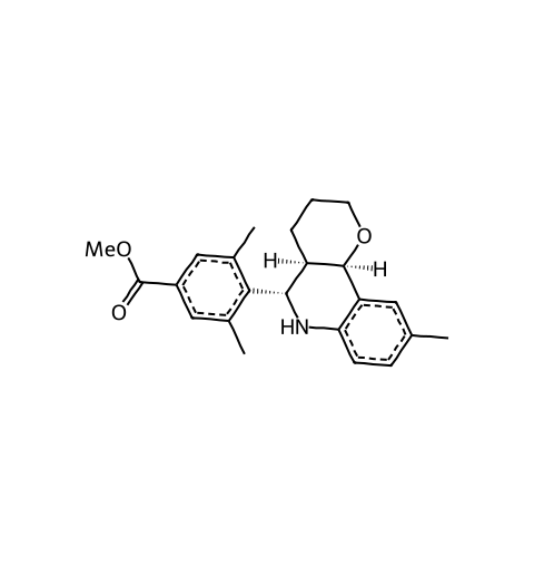 COC(=O)c1cc(C)c([C@H]2Nc3ccc(C)cc3[C@@H]3OCCC[C@H]23)c(C)c1